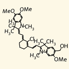 COc1cc2c(cc1CO)C(C)(C)C(/C=C/C1=C(Cl)C(=C/C=C3\N(C)c4cc(OC)c(OC)cc4C3(C)C)/CCC1)=[N+]2C